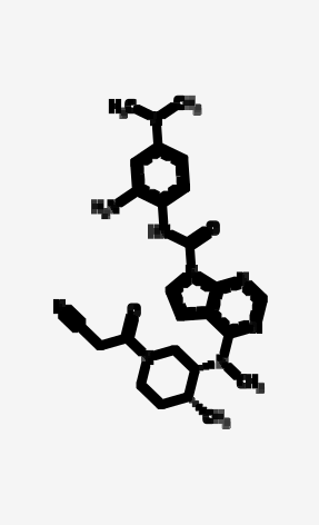 C[C@@H]1CCN(C(=O)CC#N)C[C@@H]1N(C)c1ncnc2c1ccn2C(=O)Nc1ccc(N(C)C)cc1N